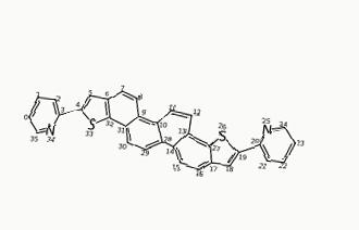 c1ccc(-c2cc3ccc4c5ccc6c(ccc7cc(-c8ccccn8)sc76)c5ccc4c3s2)nc1